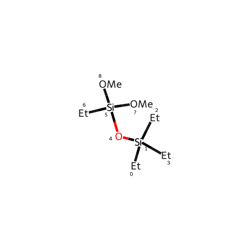 CC[Si](CC)(CC)O[Si](CC)(OC)OC